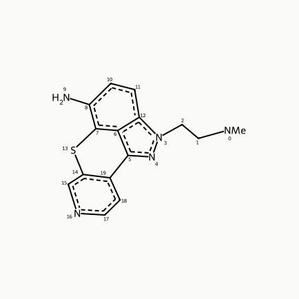 CNCCn1nc2c3c(c(N)ccc31)Sc1cnccc1-2